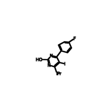 CC(C)c1nc(O)nc(-c2ccc(F)cc2)c1I